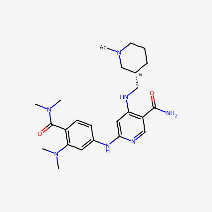 CC(=O)N1CCC[C@H](CNc2cc(Nc3ccc(C(=O)N(C)C)c(N(C)C)c3)ncc2C(N)=O)C1